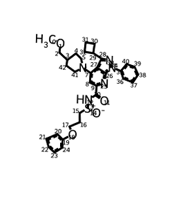 COCC1CCN(c2cc(C(=O)N[S+]([O-])CCCOc3ccccc3)nc3c2c(C2CCC2)nn3-c2ccccc2)CC1